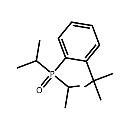 CC(C)P(=O)(c1ccccc1C(C)(C)C)C(C)C